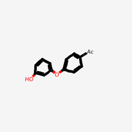 CC(=O)c1ccc(Oc2cccc(O)c2)cc1